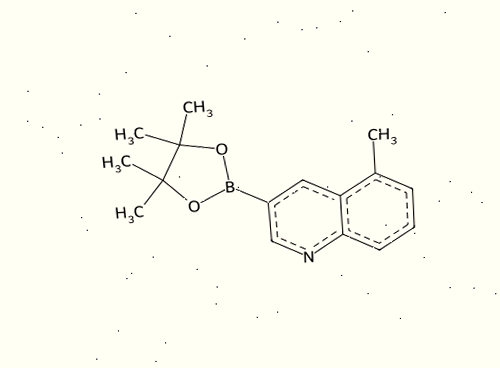 Cc1cccc2ncc(B3OC(C)(C)C(C)(C)O3)cc12